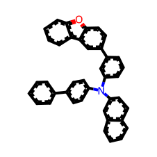 c1ccc(-c2ccc(N(c3cccc(-c4ccc5oc6ccccc6c5c4)c3)c3ccc4ccccc4c3)cc2)cc1